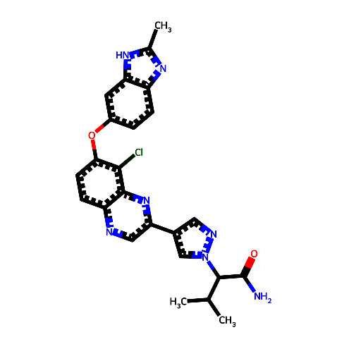 Cc1nc2ccc(Oc3ccc4ncc(-c5cnn(C(C(N)=O)C(C)C)c5)nc4c3Cl)cc2[nH]1